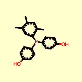 Cc1cc(C)c(P(c2ccc(O)cc2)c2ccc(O)cc2)cc1C